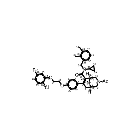 CC(=O)N1C[C@H]2CC(c3ccc(OCCOc4cc(F)ccc4Cl)cc3)=C(C(=O)N(Cc3cccc(C)c3C)C3CC3)[C@@H](C1)N2